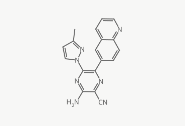 Cc1ccn(-c2nc(N)c(C#N)nc2-c2ccc3ncccc3c2)n1